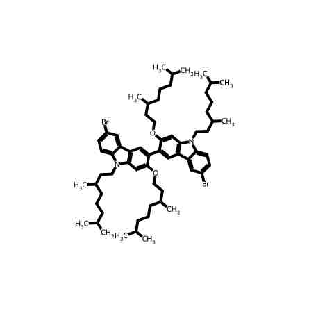 CC(C)CCCC(C)CCOc1[c]c2c(cc1-c1cc3c4cc(Br)ccc4n(CCC(C)CCCC(C)C)c3[c]c1OCCC(C)CCCC(C)C)c1cc(Br)ccc1n2CCC(C)CCCC(C)C